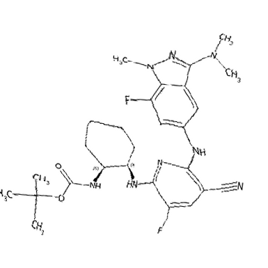 CN(C)c1nn(C)c2c(F)cc(Nc3nc(N[C@@H]4CCCC[C@@H]4NC(=O)OC(C)(C)C)c(F)cc3C#N)cc12